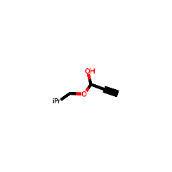 C#CC(O)OCC(C)C